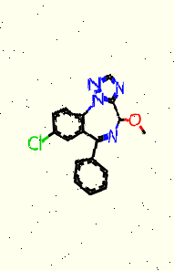 COC1N=C(c2ccccc2)c2cc(Cl)ccc2-n2ncnc21